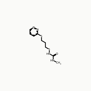 CNC(=O)NSCCCSc1cccnn1